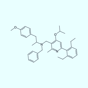 CCc1cccc(CC)c1-c1cc(OC(C)C)c(CN(Cc2ccccc2)C(C)Cc2ccc(OC)cc2)c(C)n1